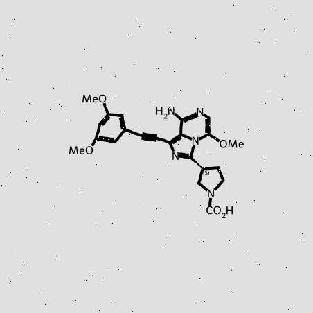 COc1cc(C#Cc2nc([C@H]3CCN(C(=O)O)C3)n3c(OC)cnc(N)c23)cc(OC)c1